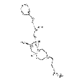 CCOC(=O)CCC[C@@H]1CC[C@@H]2[C@@H](C=C[C@@H](O)COc3ccccc3)[C@H](O)C[C@@H]2OC1